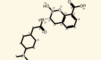 CN(C)C1CCC(CC(=O)N[C@H]2Cc3cccc(C(=O)O)c3OB2O)CC1